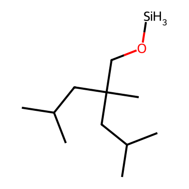 CC(C)CC(C)(CO[SiH3])CC(C)C